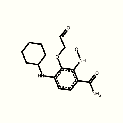 NC(=O)c1ccc(NC2CCCCC2)c(OCC=O)c1NO